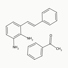 CC(=O)c1ccccc1.Nc1cccc(C=Cc2ccccc2)c1N